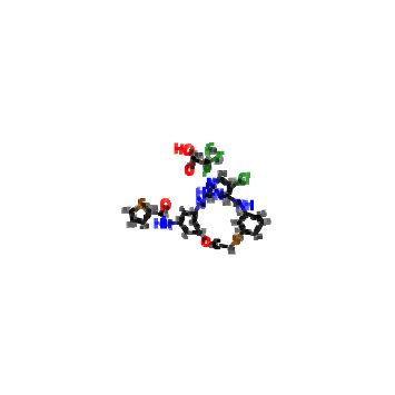 O=C(Nc1cc2cc(c1)OCCSc1cccc(c1)Nc1nc(ncc1Cl)N2)c1cccs1.O=C(O)C(F)(F)F